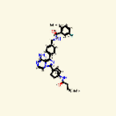 COCCC(=O)NC12CCC(c3nc(-c4ccc(CNC(=O)c5cc(F)ccc5OC)cc4)c4c(N)nccn34)(CC1)C2